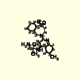 Cc1ccc2nc(N3CCS(=O)(=O)c4ccccc4C3)cc(NC(C)(C)CN)c2c1